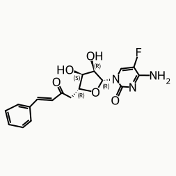 Nc1nc(=O)n([C@@H]2O[C@H](CC(=O)C=Cc3ccccc3)[C@@H](O)[C@H]2O)cc1F